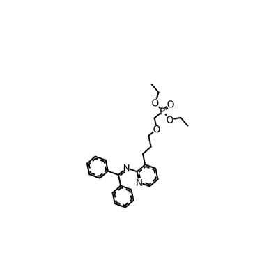 CCOP(=O)(COCCCc1cccnc1N=C(c1ccccc1)c1ccccc1)OCC